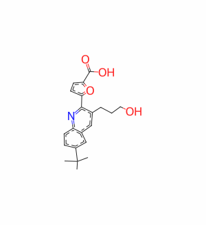 CC(C)(C)c1ccc2nc(-c3ccc(C(=O)O)o3)c(CCCO)cc2c1